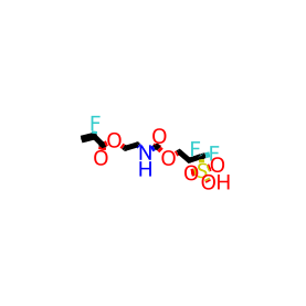 C=C(F)C(=O)OCCNC(=O)OCCC(F)(F)S(=O)(=O)O